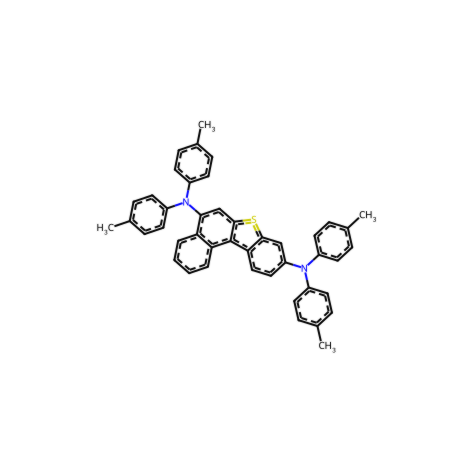 Cc1ccc(N(c2ccc(C)cc2)c2ccc3c(c2)sc2cc(N(c4ccc(C)cc4)c4ccc(C)cc4)c4ccccc4c23)cc1